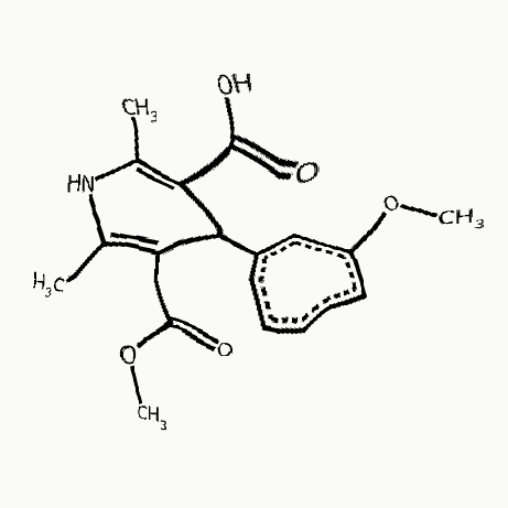 COC(=O)C1=C(C)NC(C)=C(C(=O)O)C1c1cccc(OC)c1